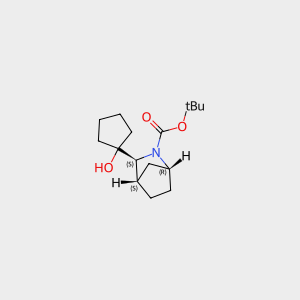 CC(C)(C)OC(=O)N1[C@@H]2CC[C@@H](C2)[C@H]1C1(O)CCCC1